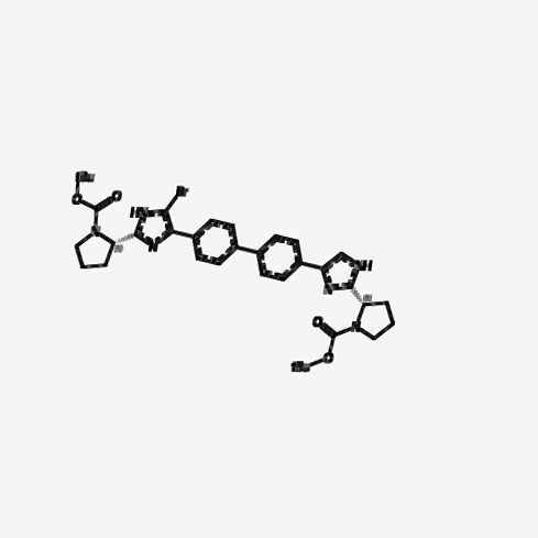 CC(C)(C)OC(=O)N1CCC[C@H]1c1nc(-c2ccc(-c3ccc(-c4nc([C@@H]5CCCN5C(=O)OC(C)(C)C)[nH]c4Br)cc3)cc2)c[nH]1